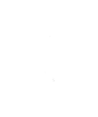 CCCC1CCC(C2CCC(C=C(F)C#N)CC2)CC1